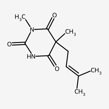 CC(C)=CCC1(C)C(=O)NC(=O)N(C)C1=O